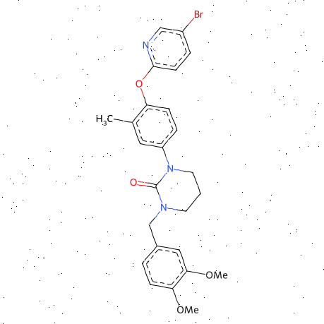 COc1ccc(CN2CCCN(c3ccc(Oc4ccc(Br)cn4)c(C)c3)C2=O)cc1OC